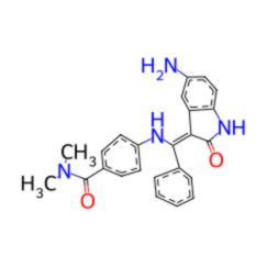 CN(C)C(=O)c1ccc(NC(=C2C(=O)Nc3ccc(N)cc32)c2ccccc2)cc1